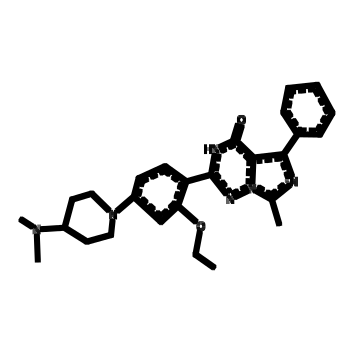 CCOc1cc(N2CCC(N(C)C)CC2)ccc1-c1nn2c(C)nc(-c3ccccc3)c2c(=O)[nH]1